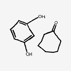 O=C1CCCCC1.Oc1cccc(O)c1